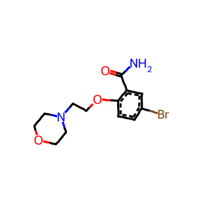 NC(=O)c1cc(Br)ccc1OCCN1CCOCC1